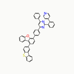 c1ccc(-c2cc(-c3ccc(-c4ccc(-c5ccc6sc7ccccc7c6c5)c5c4oc4ccccc45)cc3)nc(-c3ccccc3-c3ccncc3)n2)cc1